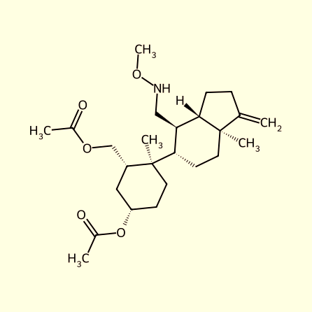 C=C1CC[C@H]2[C@H](CNOC)[C@@H]([C@@]3(C)CC[C@H](OC(C)=O)C[C@@H]3COC(C)=O)CC[C@]12C